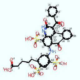 O=C(O)CCCCc1cc(Nc2cc(S(=O)(=O)O)c3[nH]c(=O)c(C(=O)c4ccccc4)c4c3c2C(=O)c2ccccc2-4)c(S(=O)(=O)O)cc1S(=O)(=O)O